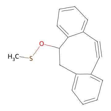 CSOC1Cc2ccccc2C#Cc2ccccc21